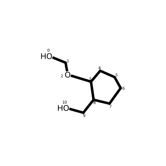 OCOC1CCCCC1CO